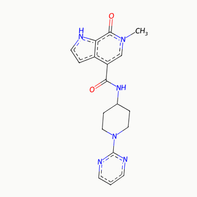 Cn1cc(C(=O)NC2CCN(c3ncccn3)CC2)c2cc[nH]c2c1=O